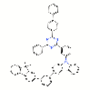 CC1(C)c2ccccc2-c2ccc(-c3cccc(-c4ccc5c(c4)c4ccccc4n5-c4cccc(-c5nc(-c6ccccc6)nc(-c6ccc(-c7ccccc7)cc6)n5)c4)c3)cc21